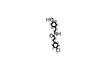 O=C(C=Cc1ccc(Cl)cc1)NCCc1ccc(O)cc1